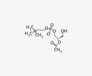 CC(=O)O[C@H](CO)COP(=O)([O-])OCC[N+](C)(C)C